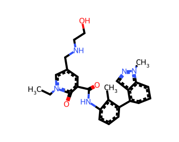 CCn1cc(CNCCO)cc(C(=O)Nc2cccc(-c3cccc4c3cnn4C)c2C)c1=O